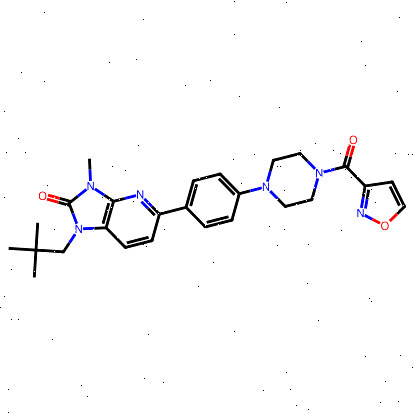 Cn1c(=O)n(CC(C)(C)C)c2ccc(-c3ccc(N4CCN(C(=O)c5ccon5)CC4)cc3)nc21